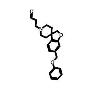 O=CCCN1CCC2(CC1)COc1cc(COc3ccccc3)ccc12